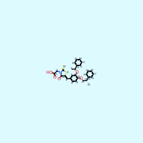 CC(Oc1cc(/C=C2\SC(=S)N(CC(=O)O)C2=O)ccc1OC[C@@H](C)c1ccccc1)c1ccccc1